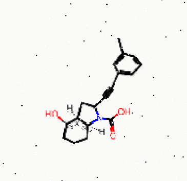 Cc1cccc(C#CC2C[C@@H]3[C@H](O)CCC[C@@H]3N2C(=O)O)c1